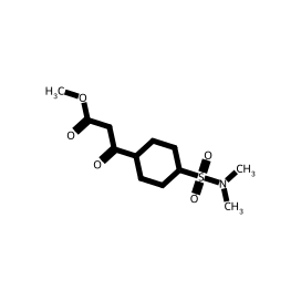 COC(=O)CC(=O)C1CCC(S(=O)(=O)N(C)C)CC1